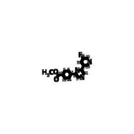 COC(=O)c1ccc(-c2cncc(-c3cncc(F)c3)n2)cc1